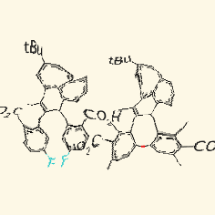 CC1=C(c2c(C)cc(C)c(C(=O)O)c2C)C(c2c(C)cc(C)c(C(=O)O)c2C)c2cccc3cc(C(C)(C)C)cc1c23.CC1=C(c2cc(F)ccc2C(=O)O)C(c2cc(F)ccc2C(=O)O)c2cccc3cc(C(C)(C)C)cc1c23